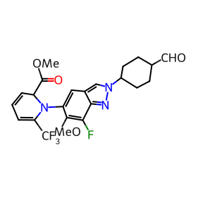 COC(=O)C1C=CC=C(C(F)(F)F)N1c1cc2cn(C3CCC(C=O)CC3)nc2c(F)c1OC